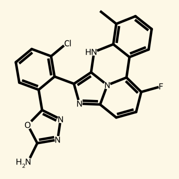 Cc1cccc2c1Nc1c(-c3c(Cl)cccc3-c3nnc(N)o3)nc3ccc(F)c-2n13